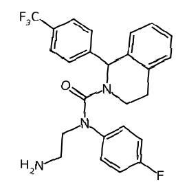 NCCN(C(=O)N1CCc2ccccc2C1c1ccc(C(F)(F)F)cc1)c1ccc(F)cc1